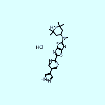 CN(c1nc2sc(-c3ncc(-c4cn[nH]c4)cn3)nc2s1)C1CC(C)(C)NC(C)(C)C1.Cl